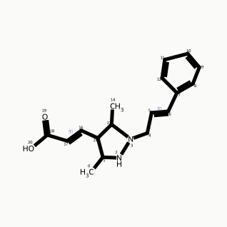 CC1NN(C/C=C/c2ccccc2)C(C)C1/C=C/C(=O)O